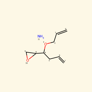 C=CCOC(CC=C)C1CO1.N